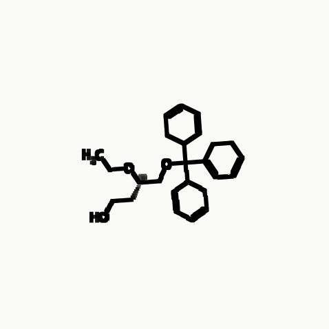 CCO[C@@H](CCO)COC(C1=CC=CCC1)(C1C=CC=CC1)C1C=CC=CC1